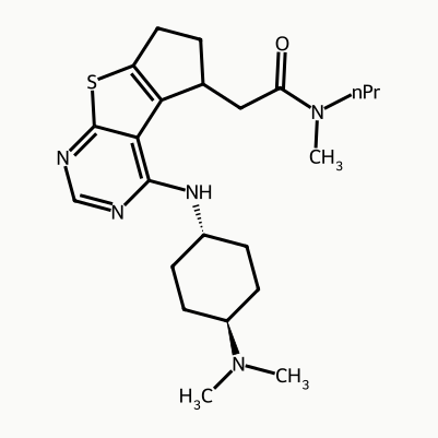 CCCN(C)C(=O)CC1CCc2sc3ncnc(N[C@H]4CC[C@H](N(C)C)CC4)c3c21